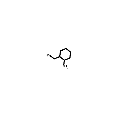 C[C](C)CC1CCCCC1N